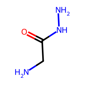 NCC(=O)NN